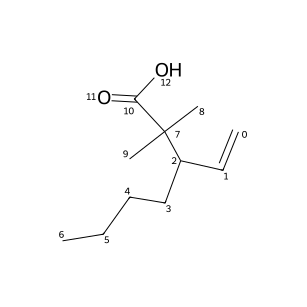 C=CC(CCCC)C(C)(C)C(=O)O